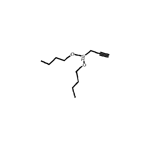 C#CC[SiH](OCCCC)OCCCC